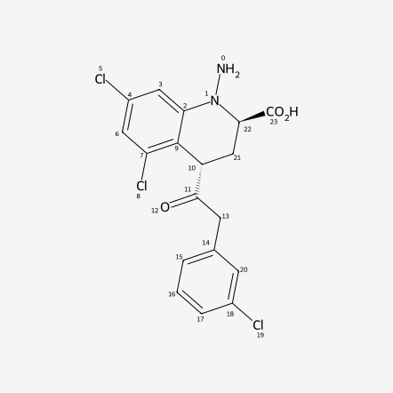 NN1c2cc(Cl)cc(Cl)c2[C@@H](C(=O)Cc2cccc(Cl)c2)C[C@@H]1C(=O)O